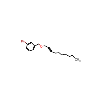 CCCCCCCC#CCOCc1cccc(Br)c1